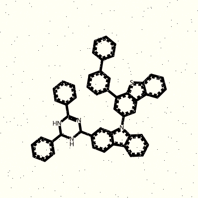 c1ccc(C2=NC(c3ccc4c5ccccc5n(-c5cc(-c6cccc(-c7ccccc7)c6)c6sc7ccccc7c6c5)c4c3)NC(c3ccccc3)N2)cc1